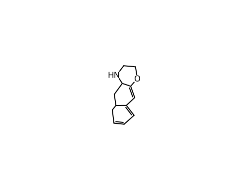 C1=CCC2CC3NCCOC3=CC2=C1